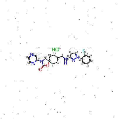 Cl.O=C1OC2(CCC(CNc3ccn(-c4ccccc4F)n3)CC2)CN1c1cnccn1